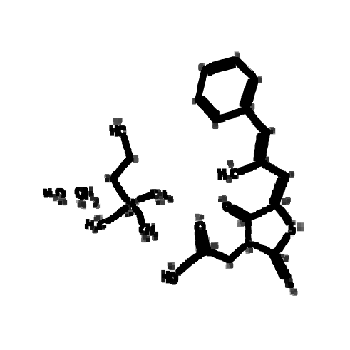 CC(=C\c1ccccc1)/C=C1/SC(=S)N(CC(=O)O)C1=O.C[N+](C)(C)CCO.O.O